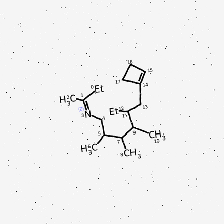 CC/C(C)=N\CC(C)C(C)C(C)C(CC)CC1=CCC1